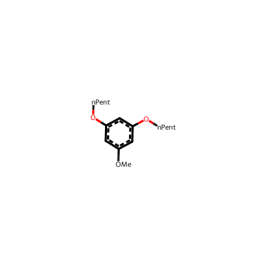 CCCCCOc1cc(OC)cc(OCCCCC)c1